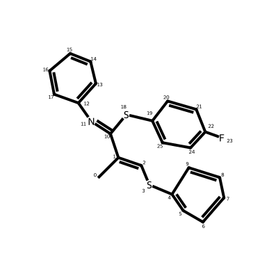 CC(=C\Sc1ccccc1)/C(=N/c1ccccc1)Sc1ccc(F)cc1